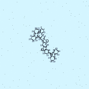 c1ccc(-c2cc3oc4cc5c(cc4c3cc2-n2c3ccccc3c3ccccc32)oc2ccc(-n3c4ccccc4c4ccccc43)cc25)cc1